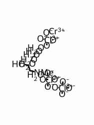 CNCCO.O.O.O.O.O.O.[Cr+3].[O-][Cl+3]([O-])([O-])[O-].[O-][Cl+3]([O-])([O-])[O-].[O-][Cl+3]([O-])([O-])[O-]